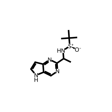 CC(N[S@+]([O-])C(C)(C)C)c1ncc2[nH]ccc2n1